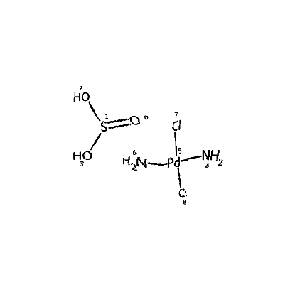 O=S(O)O.[NH2][Pd]([NH2])([Cl])[Cl]